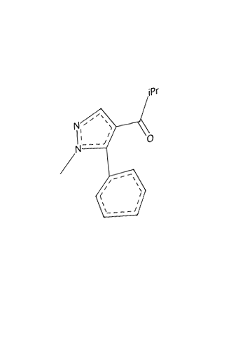 CC(C)C(=O)c1cnn(C)c1-c1ccccc1